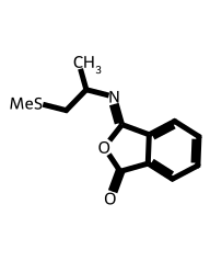 CSCC(C)N=C1OC(=O)c2ccccc21